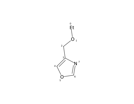 CCOCc1cocn1